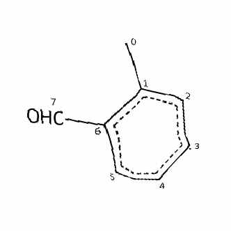 Cc1c[c]ccc1C=O